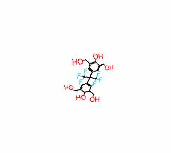 OCC1=CC(C(c2cc(CO)c(O)c(CO)c2)(C(F)(F)F)C(F)(F)F)=CC(CO)C1O